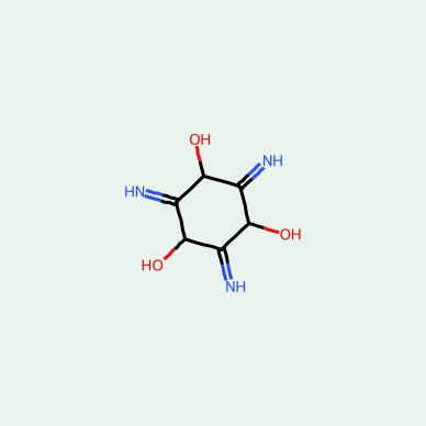 N=C1C(O)C(=N)C(O)C(=N)C1O